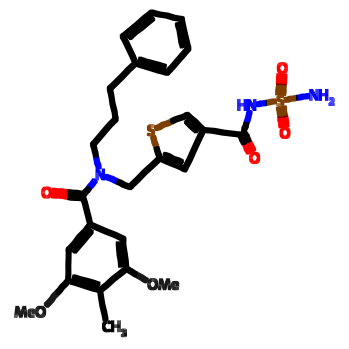 COc1cc(C(=O)N(CCCc2ccccc2)Cc2cc(C(=O)NS(N)(=O)=O)cs2)cc(OC)c1C